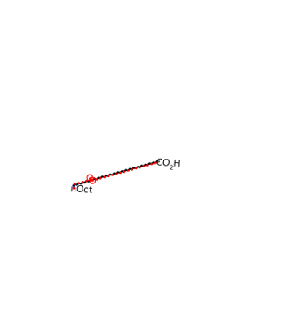 CCCCCCCC/C=C\CCCCCCCC(=O)OCCCCCCCCCCCCCCCCCCCCCCCCCCCCCCCCCC(=O)O